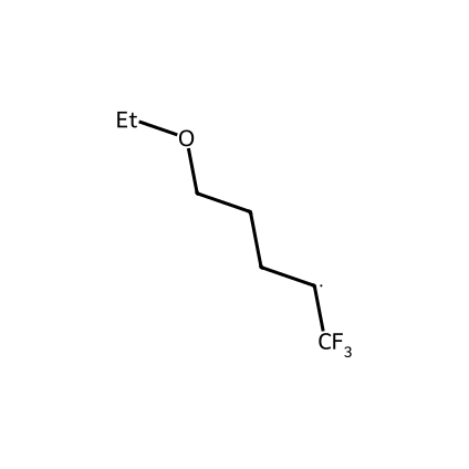 CCOCCC[CH]C(F)(F)F